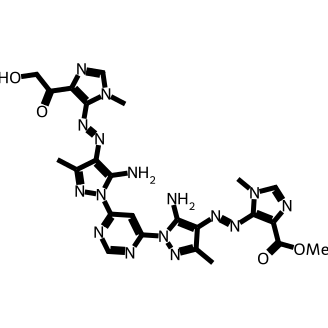 COC(=O)c1ncn(C)c1/N=N/c1c(C)nn(-c2cc(-n3nc(C)c(/N=N/c4c(C(=O)CO)ncn4C)c3N)ncn2)c1N